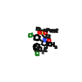 CCCCCC(CC)S(=O)(=O)C[C@H](CC)N1C(=O)[C@@](C)(CC(=O)O)C[C@H](c2cccc(Cl)c2)[C@H]1c1ccc(Cl)cc1